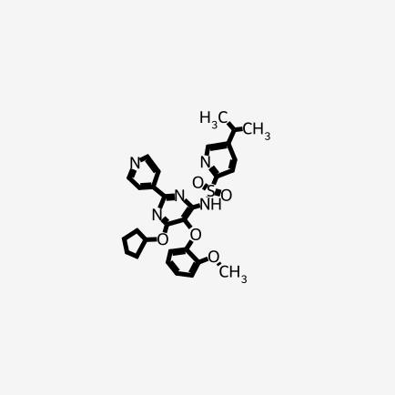 COc1ccccc1Oc1c(NS(=O)(=O)c2ccc(C(C)C)cn2)nc(-c2ccncc2)nc1OC1CCCC1